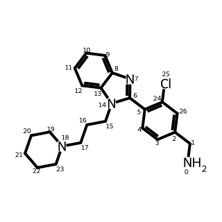 NCc1ccc(-c2nc3ccccc3n2CCCN2CCCCC2)c(Cl)c1